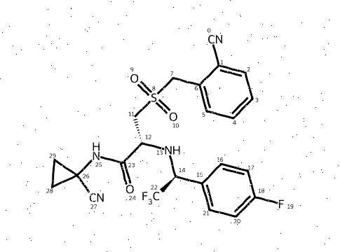 N#Cc1ccccc1CS(=O)(=O)C[C@H](N[C@@H](c1ccc(F)cc1)C(F)(F)F)C(=O)NC1(C#N)CC1